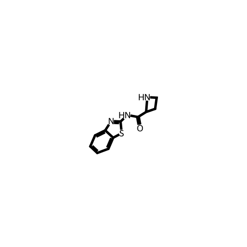 O=C(Nc1nc2ccccc2s1)C1CCN1